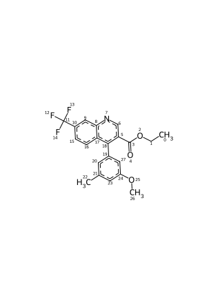 CCOC(=O)c1cnc2cc(C(F)(F)F)ccc2c1-c1cc(C)cc(OC)c1